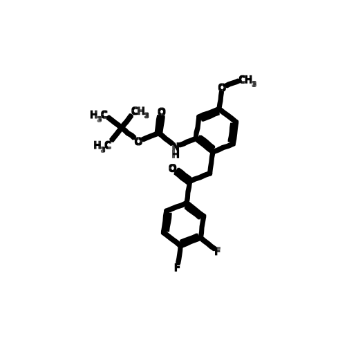 COc1ccc(CC(=O)c2ccc(F)c(F)c2)c(NC(=O)OC(C)(C)C)c1